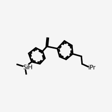 C=C(c1ccc(CCC(C)C)cc1)c1ccc([SiH](C)C)cc1